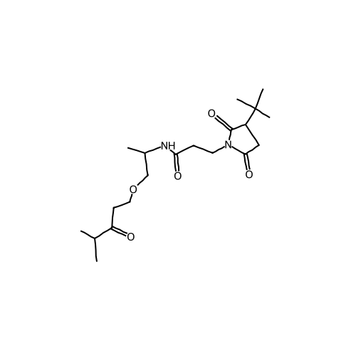 CC(COCCC(=O)C(C)C)NC(=O)CCN1C(=O)CC(C(C)(C)C)C1=O